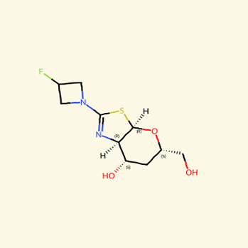 OC[C@@H]1C[C@H](O)[C@H]2N=C(N3CC(F)C3)S[C@H]2O1